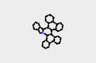 c1ccc2c(c1)cn1c2c2c3ccccc3c3ccccc3c2c2c3ccccc3c3ccccc3c21